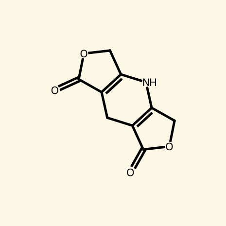 O=C1OCC2=C1CC1=C(COC1=O)N2